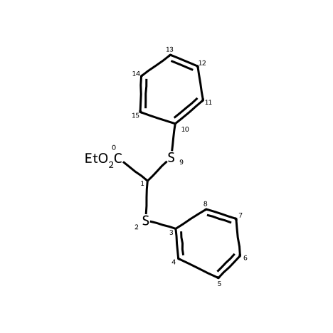 CCOC(=O)C(Sc1ccccc1)Sc1ccccc1